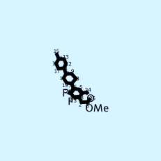 COC1Cc2c(cc(C3CCC(C4CCC(C)CC4)CC3)c(F)c2F)CO1